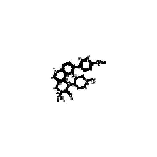 COc1ccc(-c2ccc3ncc4c(c3n2)N(C2CCN(C(C)=O)CC2)C(=O)N(C)C4)cn1